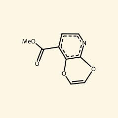 COC(=O)c1ccnc2c1OC=CO2